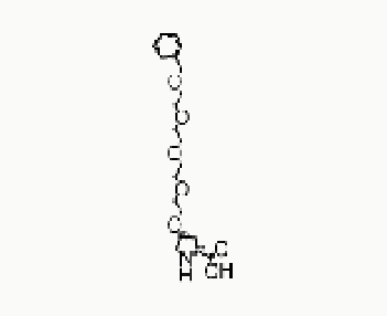 O=C(O)[C@@H]1C[C@H](OCCOCCOCCOCCOCc2ccccc2)CN1